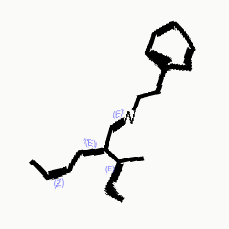 C\C=C/C=C(/C=N/CCc1ccccc1)C(\C)=C\C